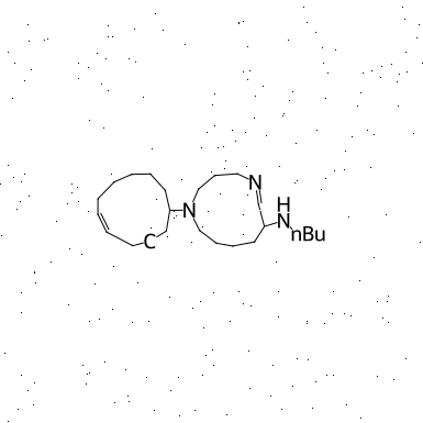 CCCCNC1/C=N/CCCN(C2CCC/C=C\CCCCC2)CCCC1